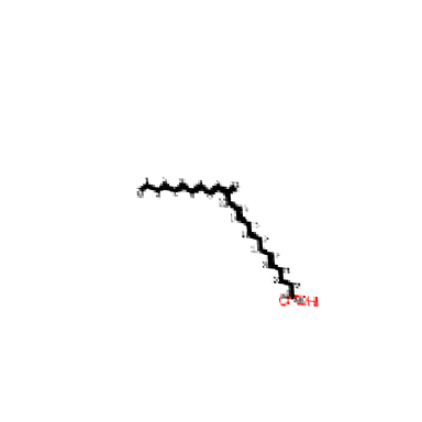 CCCCCCCCCCC(C)CCCCCCCCCCCCC(=O)O